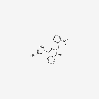 CCCNCC(O)COC(Cc1ccccc1N(C)C)C(=O)c1ccccc1